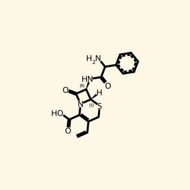 C=CC1=C(C(=O)O)N2C(=O)[C@@H](NC(=O)C(N)c3ccccc3)[C@@H]2SC1